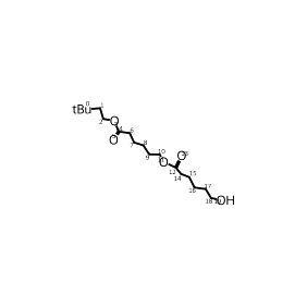 CC(C)(C)CCOC(=O)CCCCCOC(=O)CCCCCO